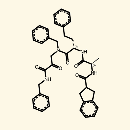 C[C@H](NC(=O)C1Cc2ccccc2C1)C(=O)N[C@@H](CCc1ccccc1)C(=O)N(CC(=O)C(=O)NCc1ccccc1)Cc1ccccc1